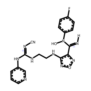 [H]/N=C(/c1nonc1NCCN/C(=N\C#N)Nc1cccnc1)N(O)c1ccc(F)cc1